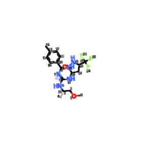 COC[C@H](C)N/C(=N/C(=O)c1ccc(C)cc1)NC1CC(C(F)(F)F)NN1